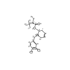 CCN(C(=O)OC1CC=CCN1Cc1ccc(Cl)c(Cl)c1)C(C)(C)C